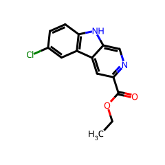 CCOC(=O)c1cc2c(cn1)[nH]c1ccc(Cl)cc12